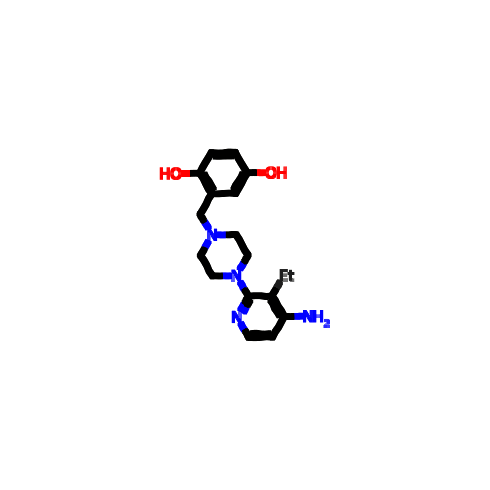 CCc1c(N)ccnc1N1CCN(Cc2cc(O)ccc2O)CC1